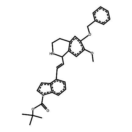 COc1cc2c(cc1OCc1ccccc1)CCNC2/C=C/c1cccc2c1ccn2C(=O)OC(C)(C)C